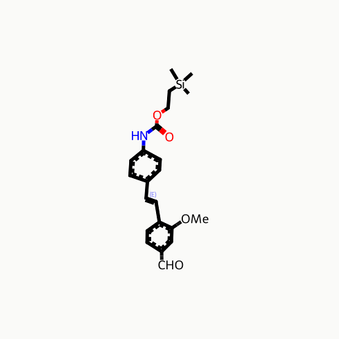 COc1cc(C=O)ccc1/C=C/c1ccc(NC(=O)OCC[Si](C)(C)C)cc1